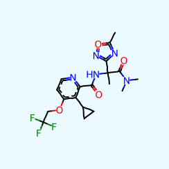 Cc1nc(C(C)(NC(=O)c2nccc(OCC(F)(F)F)c2C2CC2)C(=O)N(C)C)no1